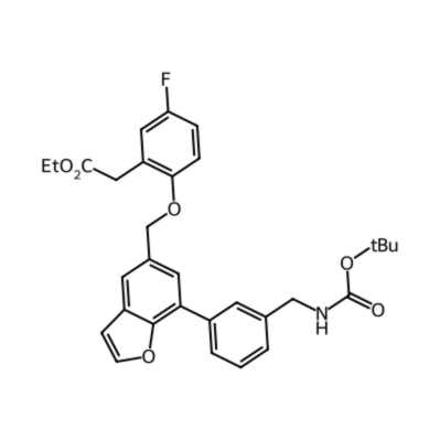 CCOC(=O)Cc1cc(F)ccc1OCc1cc(-c2cccc(CNC(=O)OC(C)(C)C)c2)c2occc2c1